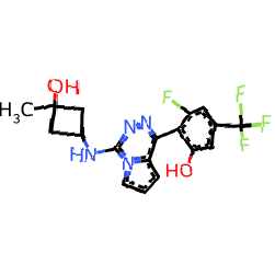 CC1(O)CC(Nc2nnc(-c3c(O)cc(C(F)(F)F)cc3F)c3cccn23)C1